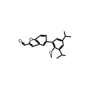 COc1c(-c2ccc3oc(C=O)cc3c2)cc(C(C)C)cc1C(C)C